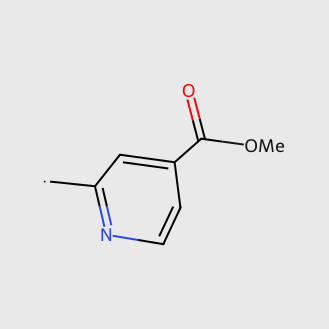 [CH2]c1cc(C(=O)OC)ccn1